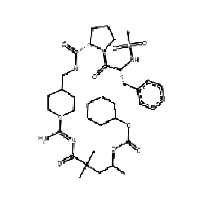 CC(CC(C)(C)C(=O)N=C(N)N1CCC(CNC(=O)[C@@H]2CCCN2C(=O)[C@@H](Cc2ccccc2)NS(C)(=O)=O)CC1)OC(=O)OC1CCCCC1